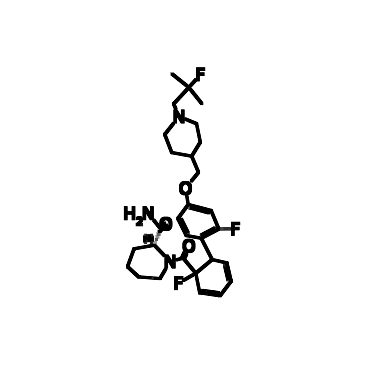 CC(C)(F)CN1CCC(COc2ccc(C3C=CC=CC3(F)C(=O)N3CCCC[C@@H]3C(N)=O)c(F)c2)CC1